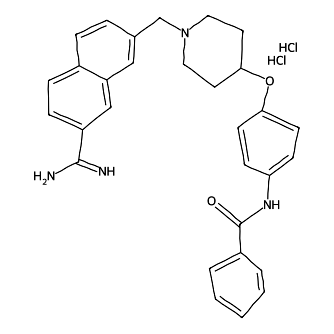 Cl.Cl.N=C(N)c1ccc2ccc(CN3CCC(Oc4ccc(NC(=O)c5ccccc5)cc4)CC3)cc2c1